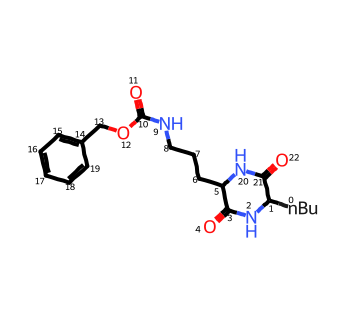 CCCCC1NC(=O)C(CCCNC(=O)OCc2ccccc2)NC1=O